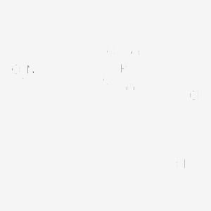 O=[N+]([O-])c1ccc(OP2(=O)OCCC(c3ccc(Cl)cc3Cl)O2)cc1